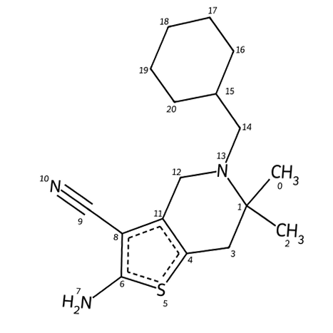 CC1(C)Cc2sc(N)c(C#N)c2CN1CC1CCCCC1